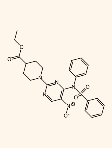 CCOC(=O)C1CCN(c2ncc([N+](=O)[O-])c(N(c3ccccc3)S(=O)(=O)c3ccccc3)n2)CC1